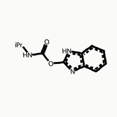 CC(C)NC(=O)Oc1nc2ccccc2[nH]1